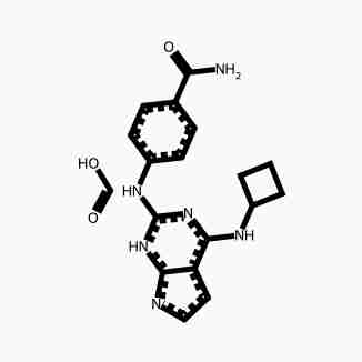 NC(=O)c1ccc(Nc2nc(NC3CCC3)c3ccnc-3[nH]2)cc1.O=CO